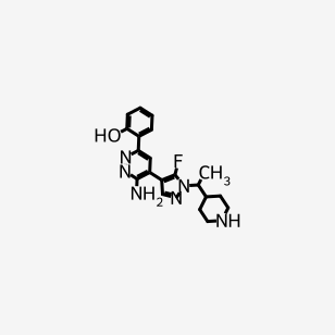 CC(C1CCNCC1)n1ncc(-c2cc(-c3ccccc3O)nnc2N)c1F